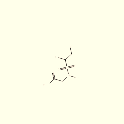 CC(=O)CN(C)S(=O)(=O)C(Br)CBr